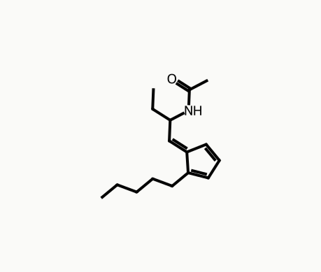 CCCCCC1=CC=CC1=CC(CC)NC(C)=O